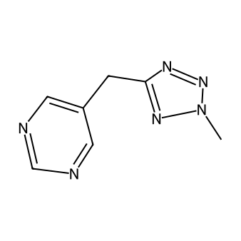 Cn1nnc(Cc2cncnc2)n1